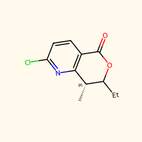 CCC1OC(=O)c2ccc(Cl)nc2[C@H]1C